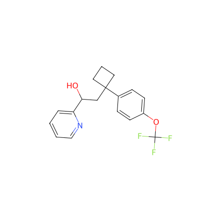 OC(CC1(c2ccc(OC(F)(F)F)cc2)CCC1)c1ccccn1